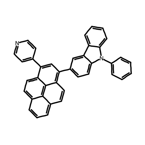 c1ccc(-n2c3ccccc3c3cc(-c4cc(-c5ccncc5)c5ccc6cccc7ccc4c5c67)ccc32)cc1